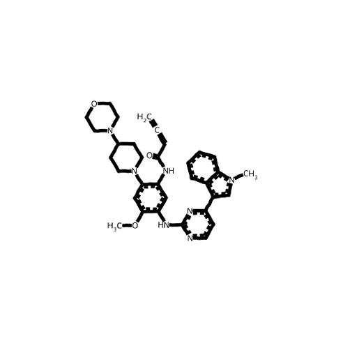 C=C=CC(=O)Nc1cc(Nc2nccc(-c3cn(C)c4ccccc34)n2)c(OC)cc1N1CCC(N2CCOCC2)CC1